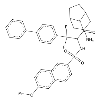 CC(C)Oc1ccc2cc(S(=O)(=O)NC(C(=O)N3C4CCC3CC(N)C4)C(F)(F)c3ccc(-c4ccccc4)cc3)ccc2c1